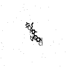 C=CCC(O[Si](C)(C)C(C)(C)C)c1cc(C)c(-c2cc3cnc(Cl)cc3n3ccnc23)cn1